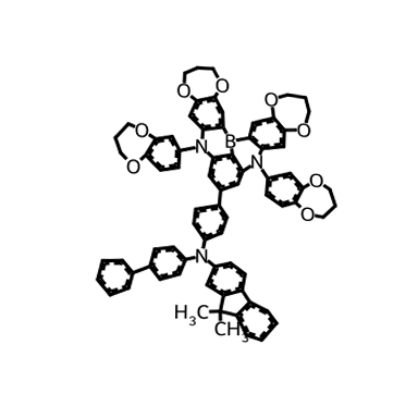 CC1(C)c2ccccc2-c2ccc(N(c3ccc(-c4ccccc4)cc3)c3ccc(-c4cc5c6c(c4)N(c4ccc7c(c4)OCCCO7)c4cc7c(cc4B6c4cc6c(cc4N5c4ccc5c(c4)OCCCO5)OCCCO6)OCCCO7)cc3)cc21